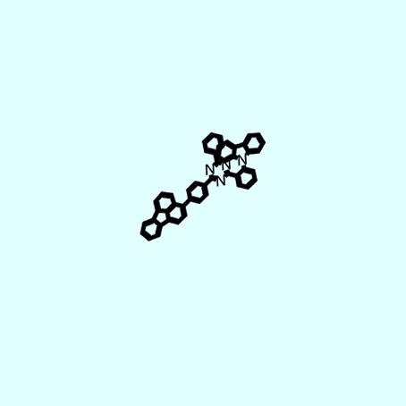 c1ccc(-c2nc(-c3ccc(-c4ccc5c6c(cccc46)-c4ccccc4-5)cc3)nc(-c3ccccc3-n3c4ccccc4c4ccccc43)n2)cc1